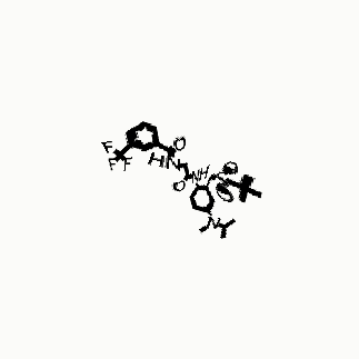 CC(C)N(C)[C@@H]1CC[C@H](NC(=O)CNC(=O)c2cccc(C(F)(F)F)c2)[C@@H](CS(=O)(=O)C(C)(C)C)C1